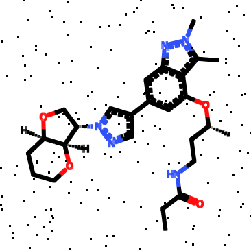 CCC(=O)NCC[C@@H](C)Oc1cc(-c2cnn([C@H]3CO[C@@H]4CCCO[C@@H]43)c2)cc2nn(C)c(C)c12